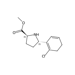 COC(=O)[C@@H]1CC[C@@H](C2=C(Cl)CCC=C2)N1